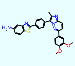 COc1ccc(-c2ccc3nc(C)c(-c4ccc(-c5nc6cc(N)ccc6s5)cc4)n3n2)cc1OC